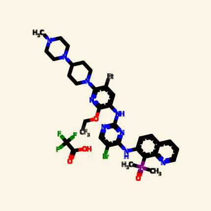 CCc1cc(Nc2ncc(Br)c(Nc3ccc4cccnc4c3P(C)(C)=O)n2)c(OCC(F)(F)F)nc1N1CCC(N2CCN(C)CC2)CC1.O=C(O)C(F)(F)F